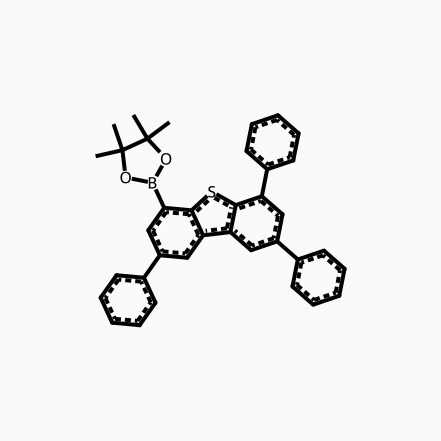 CC1(C)OB(c2cc(-c3ccccc3)cc3c2sc2c(-c4ccccc4)cc(-c4ccccc4)cc23)OC1(C)C